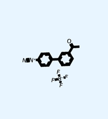 CC(=O)c1cccc(-c2ccc([N+]#N)cc2)c1.F[B-](F)(F)F